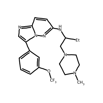 CCC(CN1CCN(C)CC1)Nc1ccc2ncc(-c3cccc(OC(F)(F)F)c3)n2n1